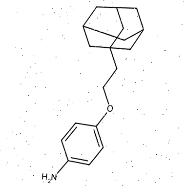 Nc1ccc(OCCC23CC4CC(CC(C4)C2)C3)cc1